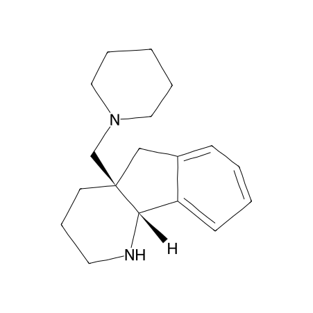 c1ccc2c(c1)C[C@@]1(CN3CCCCC3)CCCN[C@@H]21